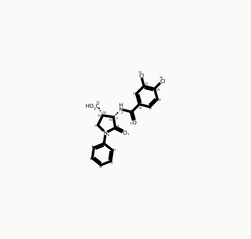 O=C(N[C@@H]1C(=O)N(c2ccccc2)C[C@@H]1C(=O)O)c1ccc(Cl)c(Cl)c1